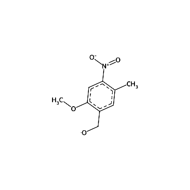 COc1cc([N+](=O)[O-])c(C)cc1C[O]